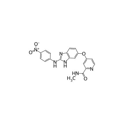 CNC(=O)c1cc(Oc2ccc3nc(Nc4ccc([N+](=O)[O-])cc4)[nH]c3c2)ccn1